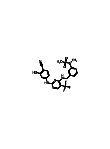 CN(c1cccc(CNc2nc(Nc3ccc(C#N)c(O)c3)ncc2C(F)(F)F)c1)S(C)(=O)=O